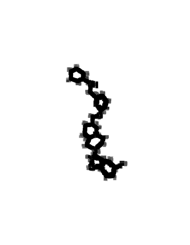 Fc1ccc2onc(N3CCN4CC(COc5cccc(CNC6CCCCC6)n5)CCC4C3)c2c1